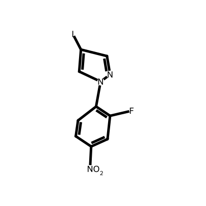 O=[N+]([O-])c1ccc(-n2cc(I)cn2)c(F)c1